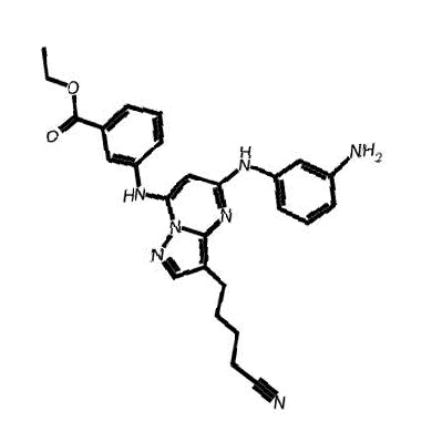 CCOC(=O)c1cccc(Nc2cc(Nc3cccc(N)c3)nc3c(CCCCC#N)cnn23)c1